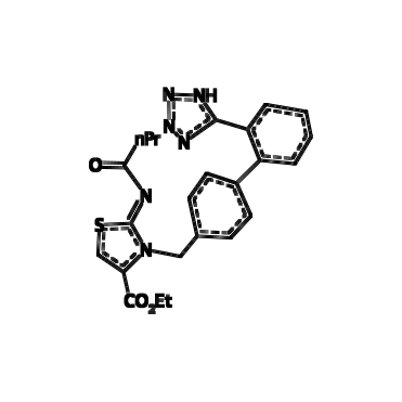 CCCC(=O)N=c1scc(C(=O)OCC)n1Cc1ccc(-c2ccccc2-c2nnn[nH]2)cc1